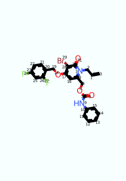 C=CCn1c(COC(=O)Nc2ccccc2)cc(OCc2ccc(F)cc2F)c(Br)c1=O